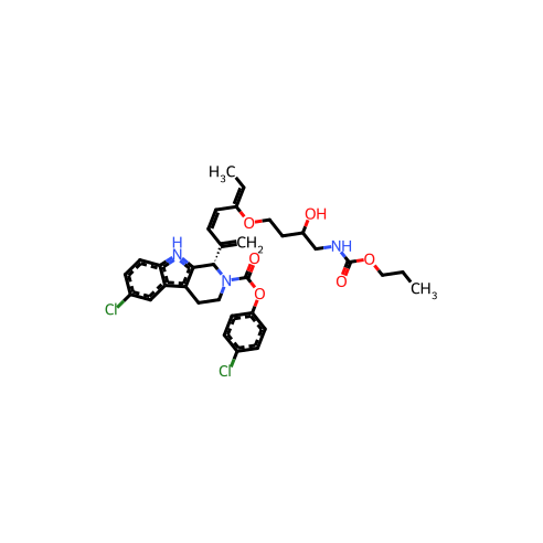 C=C(/C=C\C(=C/C)OCCC(O)CNC(=O)OCCC)[C@H]1c2[nH]c3ccc(Cl)cc3c2CCN1C(=O)Oc1ccc(Cl)cc1